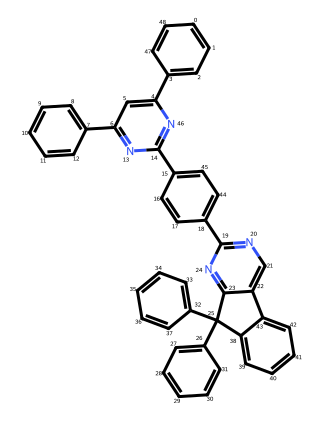 c1ccc(-c2cc(-c3ccccc3)nc(-c3ccc(-c4ncc5c(n4)C(c4ccccc4)(c4ccccc4)c4ccccc4-5)cc3)n2)cc1